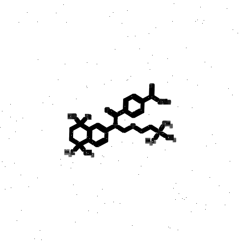 CCC1(O)CCC(C)(C)c2ccc(N(COCC[Si](C)(C)C)C(=O)c3ccc(C(=O)OC)cc3)cc21